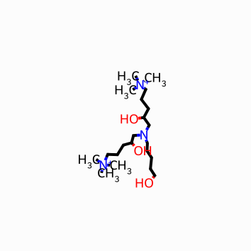 C[N+](C)(C)CCCC(O)CN(CCCCCO)CC(O)CCC[N+](C)(C)C